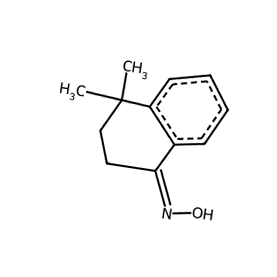 CC1(C)CC/C(=N/O)c2ccccc21